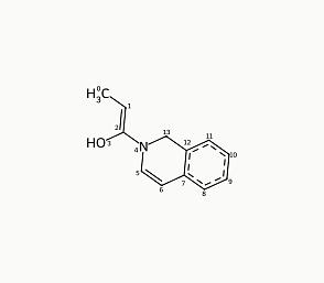 CC=C(O)N1C=Cc2ccccc2C1